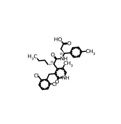 CCCC[C@H](C(=O)N[C@@H](CC(=O)O)c1ccc(C)cc1)c1c(C)c[nH]c(=O)c1Cc1c(Cl)cccc1Cl